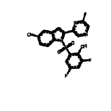 Cc1cncc(-c2cc3cc(Cl)ccc3n2S(=O)(=O)c2cc(F)cc(F)c2O)n1